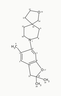 Cc1cc2c(cc1N1CCC3(CCOC3)CC1)OC(C)(C)C2